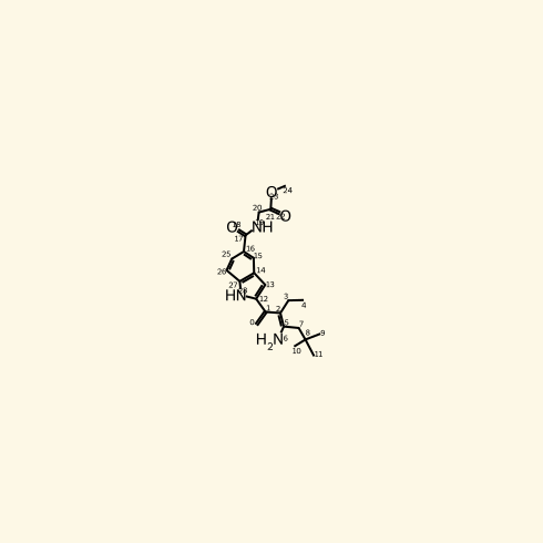 C=C(/C(CC)=C(\N)CC(C)(C)C)c1cc2cc(C(=O)NCC(=O)OC)ccc2[nH]1